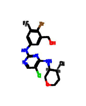 N#C[C@@H]1CCOC[C@H]1Nc1nc(Nc2cc(CO)c(Br)c(C(F)(F)F)c2)ncc1Cl